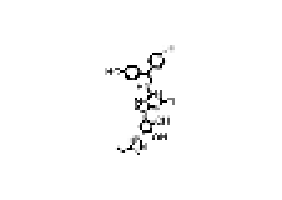 CCc1nnn([C@H]2CC(n3cnc4c(NCC(c5ccc(O)cc5)c5ccc(O)cc5)nc(Cl)nc43)C(O)[C@@H]2O)n1